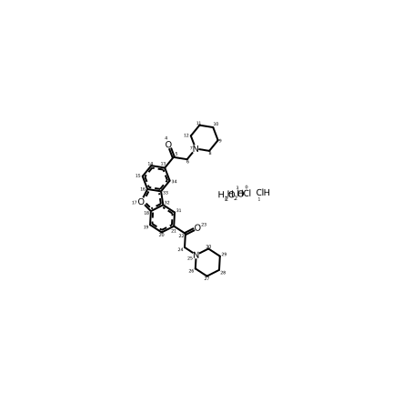 Cl.Cl.O.O.O=C(CN1CCCCC1)c1ccc2oc3ccc(C(=O)CN4CCCCC4)cc3c2c1